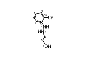 OCCNNc1ccccc1Cl